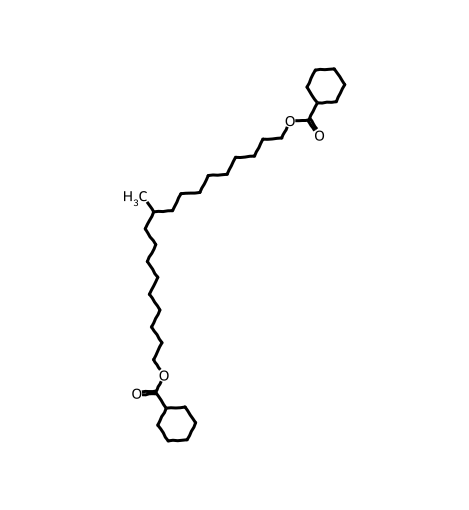 CC(CCCCCCCCCOC(=O)C1CCCCC1)CCCCCCCCCOC(=O)C1CCCCC1